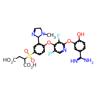 CN1CC=NC1c1cc(S(=O)(=O)C(CC(=O)O)C(=O)O)ccc1Oc1c(F)cnc(Oc2cc(C(=N)N)ccc2O)c1F